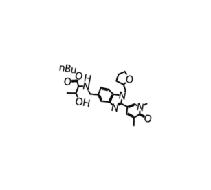 CCCCOC(=O)C(NCc1ccc2c(c1)nc(-c1cc(C)c(=O)n(C)c1)n2CC1CCCO1)C(C)O